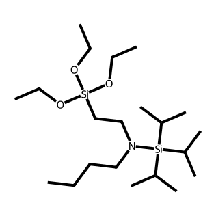 CCCCN(CC[Si](OCC)(OCC)OCC)[Si](C(C)C)(C(C)C)C(C)C